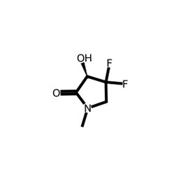 CN1CC(F)(F)[C@H](O)C1=O